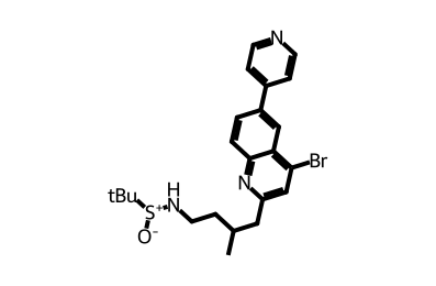 CC(CCN[S+]([O-])C(C)(C)C)Cc1cc(Br)c2cc(-c3ccncc3)ccc2n1